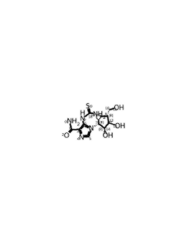 NC(=O)c1ncn([C@@H]2O[C@H](CO)[C@@H](O)[C@H]2O)c1NC(N)=S